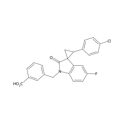 O=C(O)c1cccc(CN2C(=O)C3(CC3c3ccc(Cl)cc3)c3cc(F)ccc32)c1